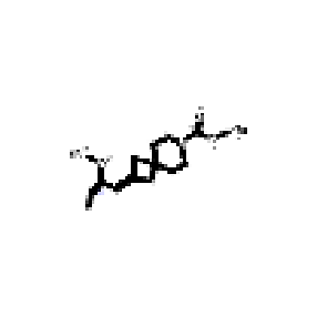 C/C=C(\C=C1CC2(CCN(C(=O)OC(C)(C)C)CC2)C1)OC(C)(C)C